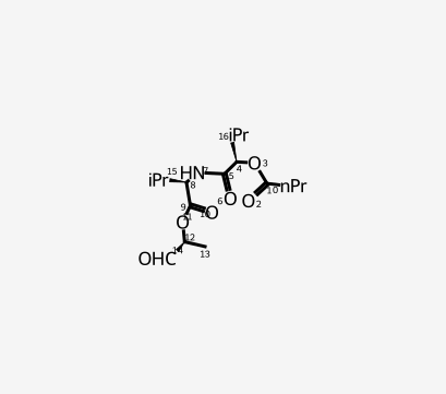 CCCC(=O)O[C@@H](C(=O)N[C@@H](C(=O)O[C@@H](C)C=O)C(C)C)C(C)C